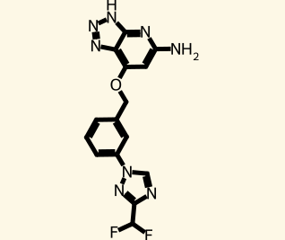 Nc1cc(OCc2cccc(-n3cnc(C(F)F)n3)c2)c2nn[nH]c2n1